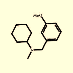 COc1cccc(CN(C)C2CCCCC2)c1